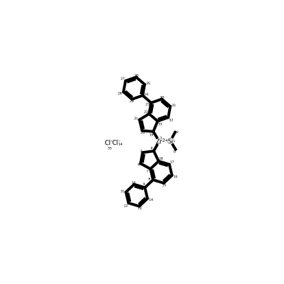 C[Si](C)=[Zr+2]([CH]1C=Cc2c(-c3ccccc3)cccc21)[CH]1C=Cc2c(-c3ccccc3)cccc21.[Cl-].[Cl-]